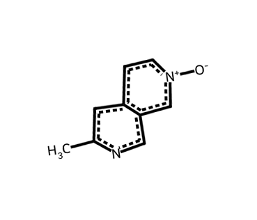 Cc1cc2cc[n+]([O-])cc2cn1